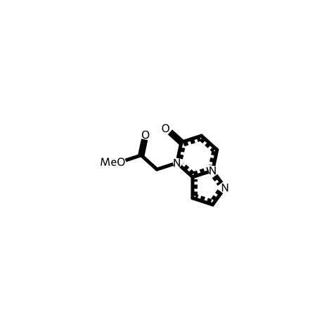 COC(=O)Cn1c(=O)ccn2nccc12